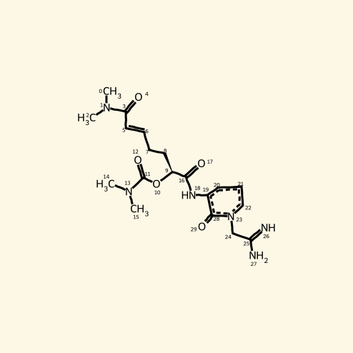 CN(C)C(=O)/C=C/CC[C@H](OC(=O)N(C)C)C(=O)Nc1cccn(CC(=N)N)c1=O